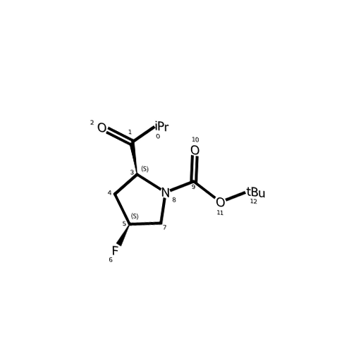 CC(C)C(=O)[C@@H]1C[C@H](F)CN1C(=O)OC(C)(C)C